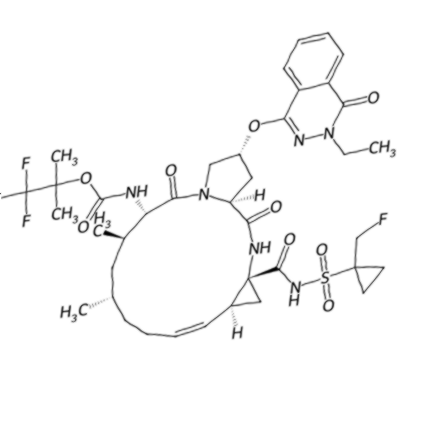 CCn1nc(O[C@@H]2C[C@H]3C(=O)N[C@]4(C(=O)NS(=O)(=O)C5(CF)CC5)C[C@H]4/C=C\CC[C@H](C)C[C@@H](C)[C@H](NC(=O)OC(C)(C)C(F)(F)F)C(=O)N3C2)c2ccccc2c1=O